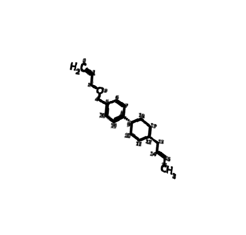 C=CCOCc1ccc([C@H]2CC[C@H](C/C=C/C)CC2)cc1